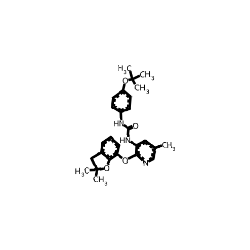 Cc1cnc(Oc2cccc3c2OC(C)(C)C3)c(NC(=O)Nc2ccc(OC(C)(C)C)cc2)c1